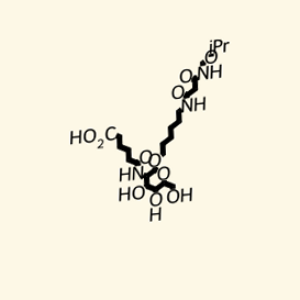 CC(C)OCNC(=O)CC(=O)NCCCCCCOC1OC(CO)C(O)C(O)C1NC(=O)CCCCC(=O)O